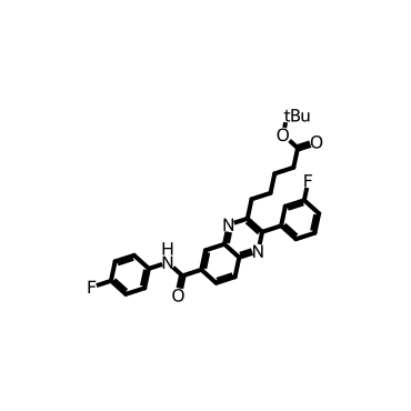 CC(C)(C)OC(=O)CCCCc1nc2cc(C(=O)Nc3ccc(F)cc3)ccc2nc1-c1cccc(F)c1